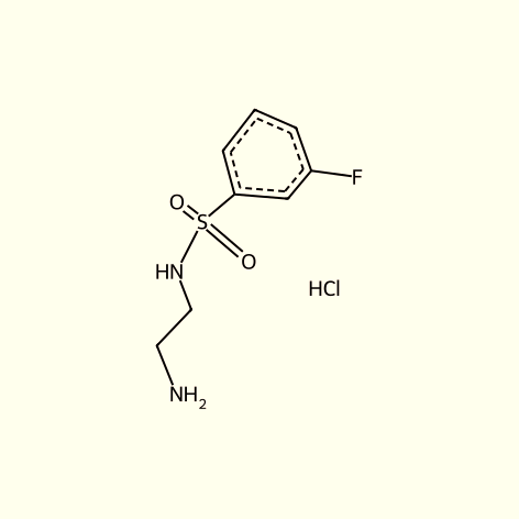 Cl.NCCNS(=O)(=O)c1cccc(F)c1